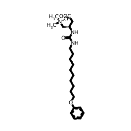 C[N+](C)(C)C[C@@H](CC(=O)[O-])NC(=O)NCCCCCCCCCCOc1ccccc1